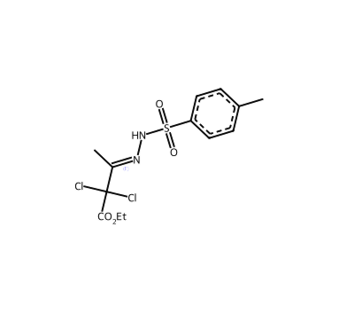 CCOC(=O)C(Cl)(Cl)/C(C)=N/NS(=O)(=O)c1ccc(C)cc1